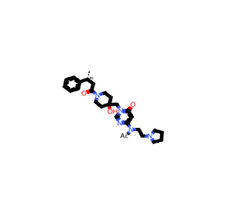 CC(=O)N(CCN1CCCC1)c1cc(=O)n(CC2(O)CCN(C(=O)C[C@@H](C)c3ccccc3)CC2)cn1